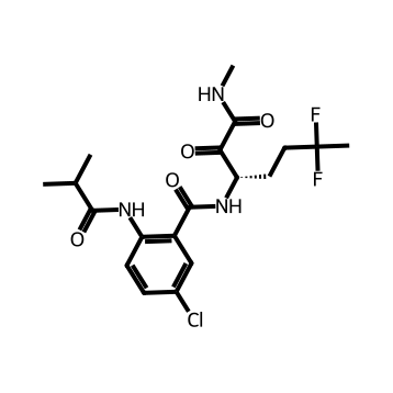 CNC(=O)C(=O)[C@H](CCC(C)(F)F)NC(=O)c1cc(Cl)ccc1NC(=O)C(C)C